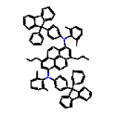 CCCc1cc(N(c2ccc(C3(c4ccccc4)c4ccccc4-c4ccccc43)cc2)c2c(C)cccc2C)c2ccc3c(CCC)cc(N(c4ccc(C5(c6ccccc6)c6ccccc6-c6ccccc65)cc4)c4c(C)cccc4C)c4ccc1c2c34